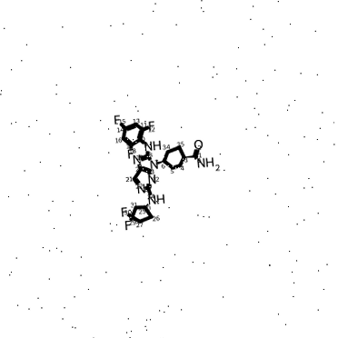 NC(=O)[C@H]1CC[C@@H](n2c(Nc3c(F)cc(F)cc3F)nc3cnc(N[C@@H]4CCC(F)(F)C4)nc32)CC1